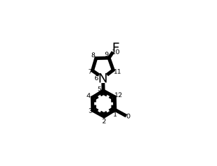 Cc1cccc(N2CCC(F)C2)c1